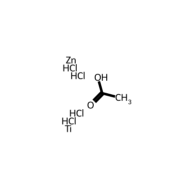 CC(=O)O.Cl.Cl.Cl.Cl.[Ti].[Zn]